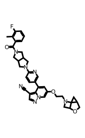 Cc1c(F)cccc1C(=O)N1CC2CN(c3ccc(-c4cc(OCCN5CC6OCC7CC765)cn5ncc(C#N)c45)cn3)CC2C1